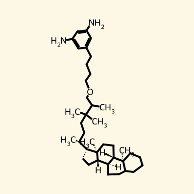 CC(COCCCCc1cc(N)cc(N)c1)C(C)(C)CC[C@@H](C)[C@H]1CC[C@H]2[C@@H]3CCC4CCCC[C@]4(C)[C@H]3CC[C@]12C